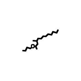 CCCCCCCCCC(C)CC(C)OCCCC